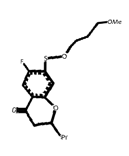 COCCCOSc1cc2c(cc1F)C(=O)CC(C(C)C)O2